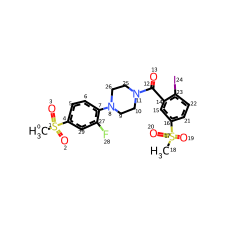 CS(=O)(=O)c1ccc(N2CCN(C(=O)c3cc(S(C)(=O)=O)ccc3I)CC2)c(F)c1